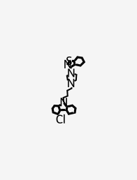 Clc1cccc2c1c1ccccc1n2CCCCN1CCN(c2nsc3ccccc23)CC1